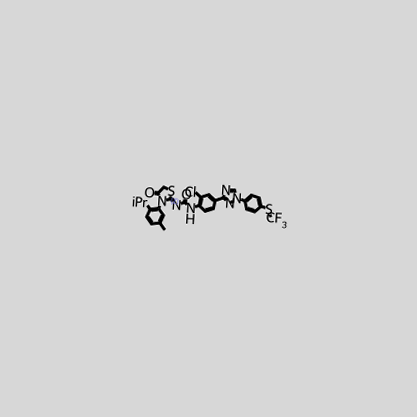 Cc1ccc(C(C)C)c(N2C(=O)CS/C2=N\C(=O)Nc2ccc(-c3ncn(-c4ccc(SC(F)(F)F)cc4)n3)cc2Cl)c1